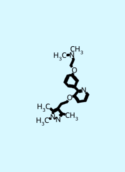 Cc1nn(C)c(C)c1CCOc1cccnc1-c1cccc(OCCN(C)C)c1